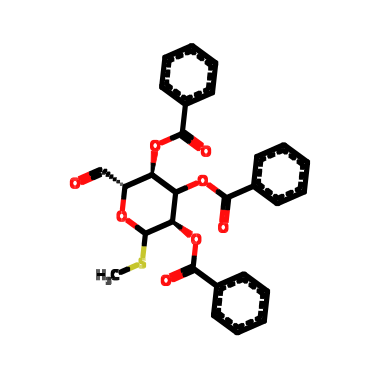 CSC1O[C@H](C=O)[C@@H](OC(=O)c2ccccc2)C(OC(=O)c2ccccc2)[C@H]1OC(=O)c1ccccc1